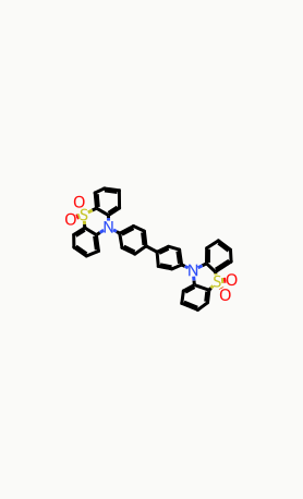 O=S1(=O)c2ccccc2N(c2ccc(-c3ccc(N4c5ccccc5S(=O)(=O)c5ccccc54)cc3)cc2)c2ccccc21